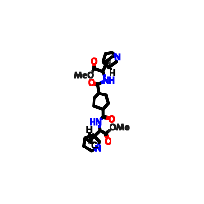 COC(=O)C(NC(=O)C1CCC(C(=O)NC(C(=O)OC)[C@@H]2CN3CCC2CC3)CC1)[C@@H]1CN2CCC1CC2